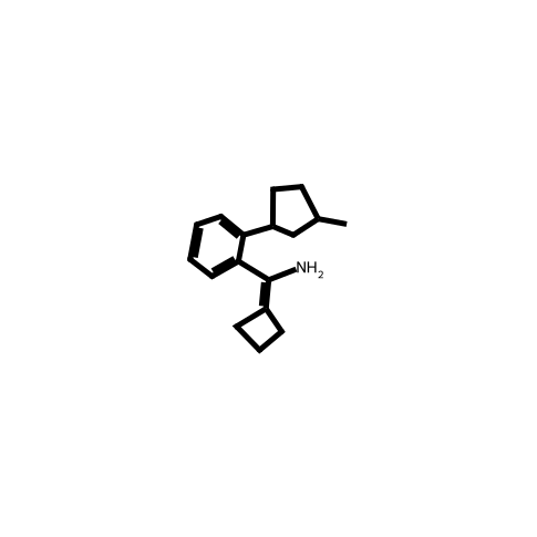 CC1CCC(c2ccccc2C(N)=C2CCC2)C1